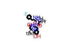 Cc1cc(=O)nc(C(Cc2ccc(O)c(C(C)(C)C)c2)NC(=O)C(C(C)C)N(C)C(=O)C(N)Cc2ccc(F)cc2)[nH]1